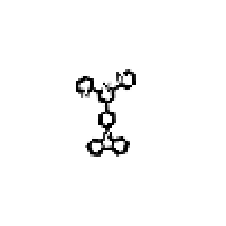 c1ccc(-c2cc(-c3ccc(-n4c5ccccc5c5ccccc54)cc3)cc(-c3ccccn3)n2)nc1